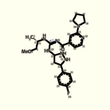 COC[C@H](C)N/C(=N/C(=O)c1ccnc(N2CCCC2)c1)NC1CC(c2ccc(F)cc2)NN1